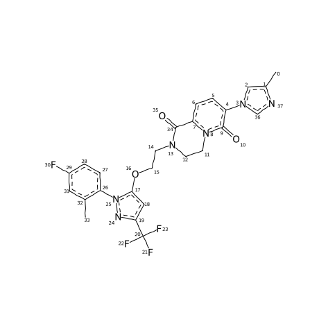 Cc1cn(-c2ccc3n(c2=O)CCN(CCOc2cc(C(F)(F)F)nn2-c2ccc(F)cc2C)C3=O)cn1